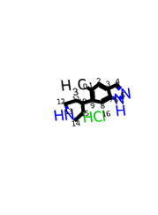 Cc1cc2cn[nH]c2cc1C1CCNCC1.Cl